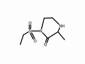 CCS(=O)(=O)N1CCNC(C)C1=O